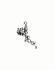 Cc1ccc(S(=O)(=O)N2CCN([n+]3noc([NH-])c3C(=O)COc3ccccc3)CC2)cc1